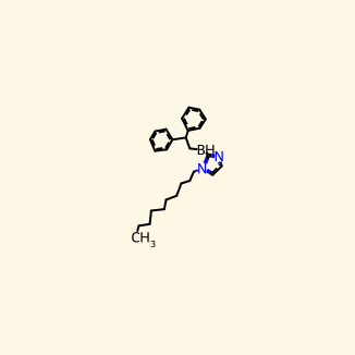 CCCCCCCCCCn1ccnc1BCC(c1ccccc1)c1ccccc1